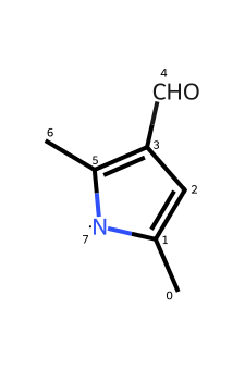 CC1=CC(C=O)=C(C)[N]1